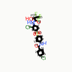 C[C@@](O)(C(=O)Nc1ccc(S(=O)(=O)c2ccc(NC(=O)c3ccc(Cl)cc3)cc2)cc1Cl)C(F)(F)F